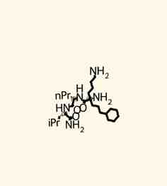 CCC[C@H](NC(=O)[C@@](N)(CCCCN)CCCC1CCCCC1)C(=O)N[C@@H](CC(C)C)C(N)=O